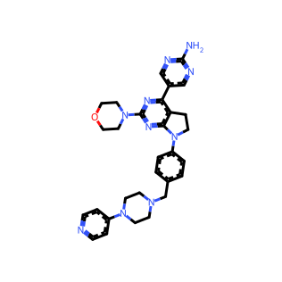 Nc1ncc(-c2nc(N3CCOCC3)nc3c2CCN3c2ccc(CN3CCN(c4ccncc4)CC3)cc2)cn1